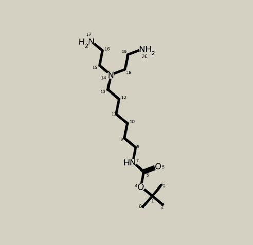 CC(C)(C)OC(=O)NCCCCCCN(CCN)CCN